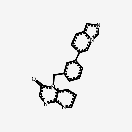 O=c1cnc2ncccc2n1Cc1cccc(-c2ccc3cncn3c2)c1